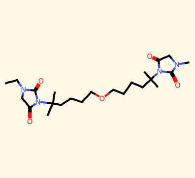 CCN1CC(=O)N(C(C)(C)CCCCOCCCCC(C)(C)N2C(=O)CN(C)C2=O)C1=O